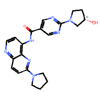 O=C(Nc1ccnc2ccc(N3CCCC3)nc12)c1cnc(N2CC[C@H](O)C2)nc1